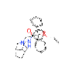 C=CCOC(C(=O)NCC1C2CCC1CN(Cc1ccccc1)C2)(c1ccccc1)c1ccccc1